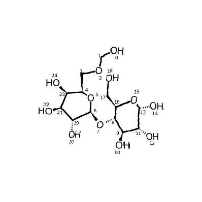 OCOC[C@H]1O[C@@H](O[C@H]2[C@H](O)[C@@H](O)[C@@H](O)O[C@@H]2CO)[C@H](O)[C@@H](O)[C@H]1O